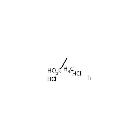 C.CC(=O)O.Cl.Cl.[Ti]